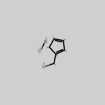 ClCC1=CC=CC1.[Cl][Zr]